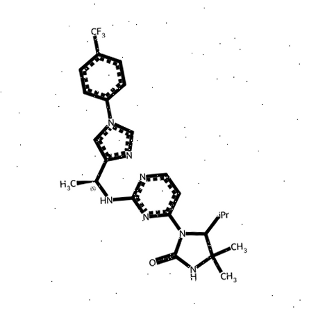 CC(C)C1N(c2ccnc(N[C@@H](C)c3cn(-c4ccc(C(F)(F)F)cc4)cn3)n2)C(=O)NC1(C)C